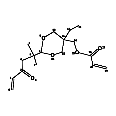 C=CC(=O)CC(C)(C)C1OCC(CC)(COC(=O)C=C)CO1